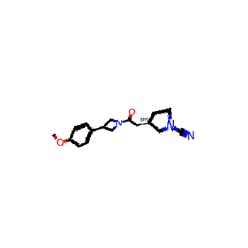 COc1ccc(C2CN(C(=O)C[C@H]3CCN(C#N)C3)C2)cc1